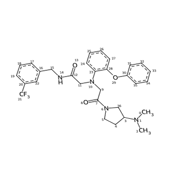 CN(C)C1CCN(C(=O)CN(CC(=O)NCc2cccc(C(F)(F)F)c2)c2ccccc2Oc2ccccc2)C1